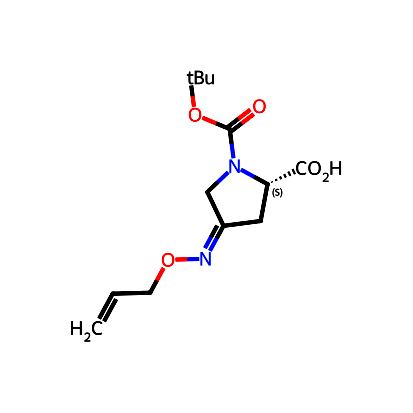 C=CCON=C1C[C@@H](C(=O)O)N(C(=O)OC(C)(C)C)C1